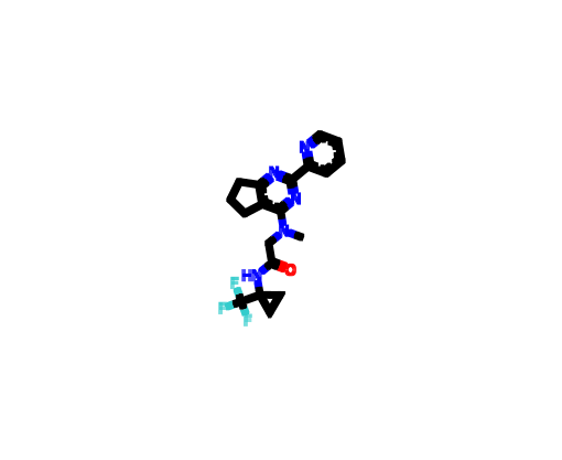 CN(CC(=O)NC1(C(F)(F)F)CC1)c1nc(-c2ccccn2)nc2c1CCC2